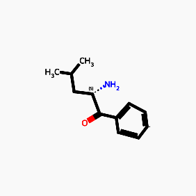 CC(C)C[C@H](N)C(=O)c1cc[c]cc1